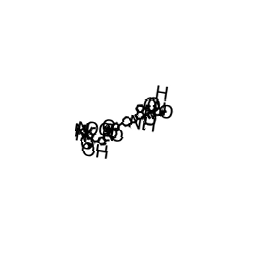 COc1cc([C@@H](CC(=O)O)c2ccc(C)c(CN3C[C@@H](C)Oc4cc(C5CCCC(Nc6cc7c8c(cccc8c6)C(=O)N(C6CCC(=O)NC6=O)C7=O)CC5)ccc4S3(=O)=O)c2)cc2nnn(C)c12